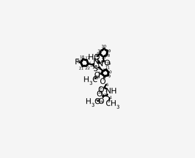 CC[C@H](NC(=O)COc1cccc(C2SC(c3ccc(F)cc3)=NN2C(=O)c2ccccc2O)c1OC)C(=O)OC